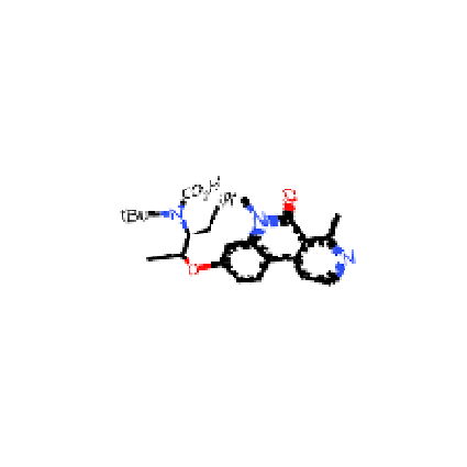 Cc1nccc2c1c(=O)n(C)c1cc(OC(C)[C@H](CC(C)C)N(C(=O)O)C(C)(C)C)ccc21